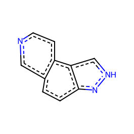 c1cc2c(ccc3n[nH]cc32)cn1